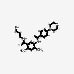 Cc1cc(C)c(C(=O)NCCCF)cc1NC(=O)c1ccc(N2CCOCC2)nc1